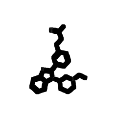 CCN1CCCC(n2c(-c3cccc(CCC(C)=O)c3)nc3ccccc32)C1